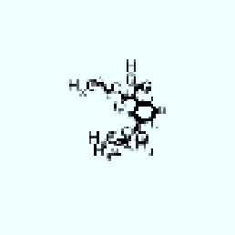 CCCOC(=O)C(C(=O)O)c1cccc(C(=O)OC(C)(C)C)c1